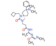 C=N/C=C(\N=C(/C)NC(=O)CCN1C[C@]2(CC[C@](c3ccccc3)(N(C)C)CC2)N(CC2CCC2)C1=O)OC